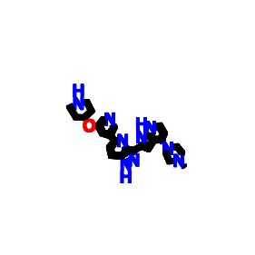 CN1CCN(c2ccnc3[nH]c(-c4n[nH]c5ccc(-c6cncc(OC7CCNCC7)c6)nc45)cc23)CC1